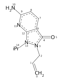 C=CCn1c(=O)c2ccc(N)nc2n1C(C)C